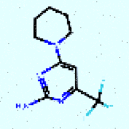 Nc1nc(N2CCCCC2)cc(C(F)(F)F)n1